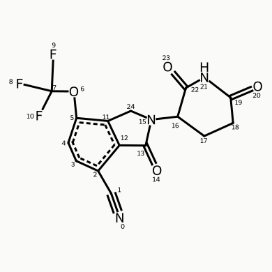 N#Cc1ccc(OC(F)(F)F)c2c1C(=O)N(C1CCC(=O)NC1=O)C2